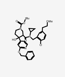 COCCc1ccc(Cl)c(CN(C(=O)C2CN(C(=O)OC(C)(C)C)CCC2(O)c2ccnc(OCc3ccccc3)c2)C2CC2)c1